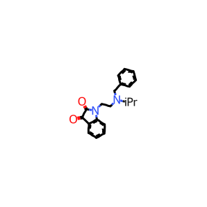 CC(C)N(CCN1C(=O)C(=O)c2ccccc21)Cc1ccccc1